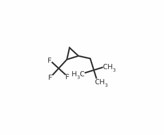 CC(C)(C)CC1CC1C(F)(F)F